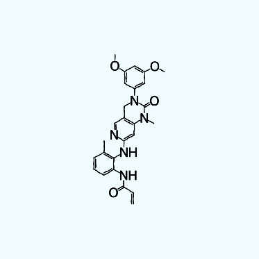 C=CC(=O)Nc1cccc(C)c1Nc1cc2c(cn1)CN(c1cc(OC)cc(OC)c1)C(=O)N2C